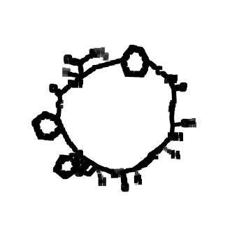 NC(=O)[C@@H]1Cc2ccc(cc2)CNC(=O)/C=C/C(O)N[C@H]2CC[C@H](CC2)C(=O)N[C@@H](Cc2ccco2)C(=O)NCc2ccccc2CC(=O)N1